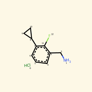 Cl.NCc1cccc(C2CC2)c1F